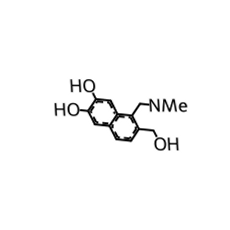 CNCc1c(CO)ccc2cc(O)c(O)cc12